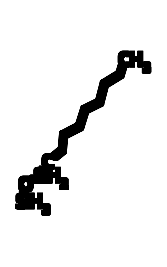 CCCCCCCCC[SiH2]O[SiH3]